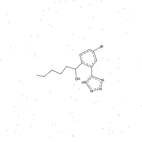 CCCCCC(O)c1ccc(Br)cc1-c1nnn[nH]1